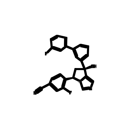 N#Cc1ccc([C@H]2C[C@](O)(c3cccc(-c4cccc(F)c4)c3)c3cncn32)c(F)c1